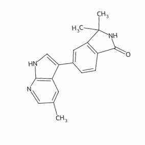 Cc1cnc2[nH]cc(-c3ccc4c(c3)C(C)(C)NC4=O)c2c1